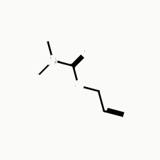 C=CCOC(=O)N(C)C